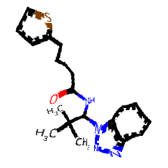 CC(C)(C)C(NC(=O)CCCc1cccs1)n1nnc2ccccc21